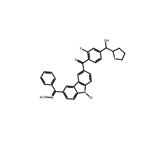 CCn1c2ccc(C(=O)c3ccc(C(O)C4CCCS4)cc3F)cc2c2cc(/C(=N/OC(C)=O)c3ccccc3)ccc21